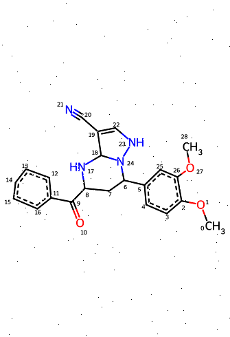 COc1ccc(C2CC(C(=O)c3ccccc3)NC3C(C#N)=CNN32)cc1OC